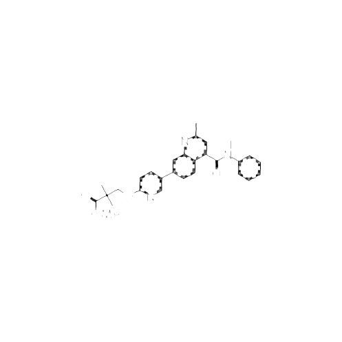 COC(=O)C(C)(C)COc1ccc(-c2ccc3c(C(=O)Nc4ccccc4)cc(C)nc3c2)cn1